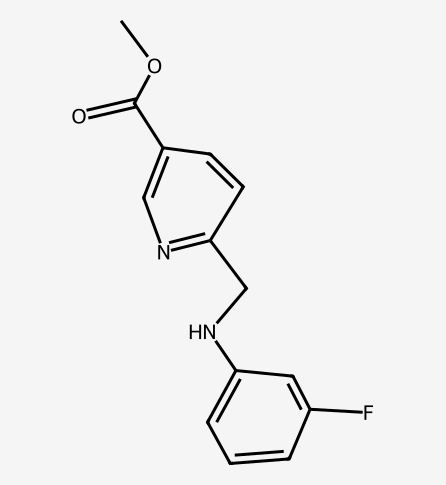 COC(=O)c1ccc(CNc2cccc(F)c2)nc1